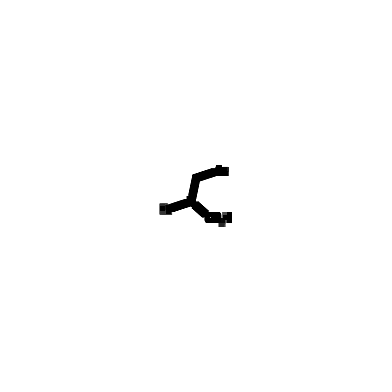 CCN(CC(C)=O)C(=O)O